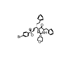 O=C(N[C@H](/C=C/S(=O)(=O)c1ccc(Br)cc1)CCc1ccccc1)C(Cc1ccccc1)NC(=O)N1CCOCC1